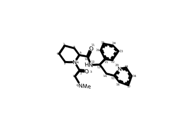 CNCC(=O)N1CCCCC1C(=O)NC(Cc1ccccn1)c1ccccc1